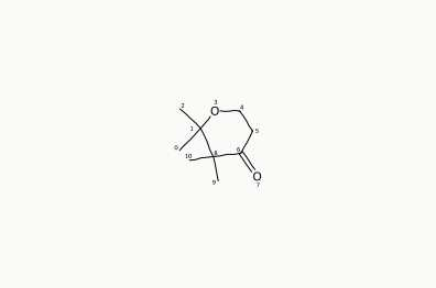 CC1(C)OCCC(=O)C1(C)C